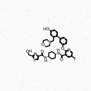 O=C(N[C@H]1CC[C@@H](NC(=O)c2cc(F)cnc2Oc2cccc(-c3ccc(O)cc3CN3CCOCC3)c2)CC1)c1csc(CO)n1